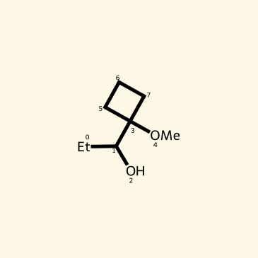 CCC(O)C1(OC)CCC1